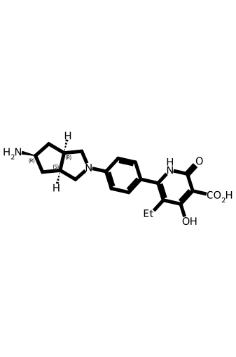 CCc1c(-c2ccc(N3C[C@H]4C[C@@H](N)C[C@H]4C3)cc2)[nH]c(=O)c(C(=O)O)c1O